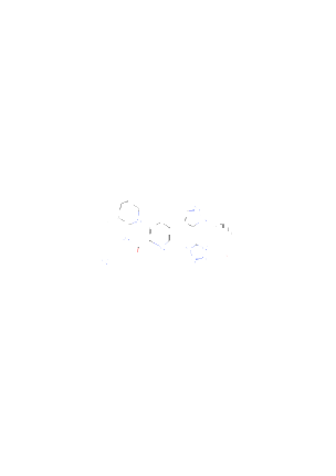 CCOC(=O)O[C@@H](C)n1nnnc1-c1c(-c2ccc(C(=O)N(c3ncccc3Cl)[C@@H]3CCCNC3)nc2)cnn1C